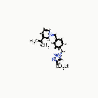 C=C(C)C1=CC=CN(Cc2ccc(Cn3cc(C(=O)OCC)nn3)cc2)C1